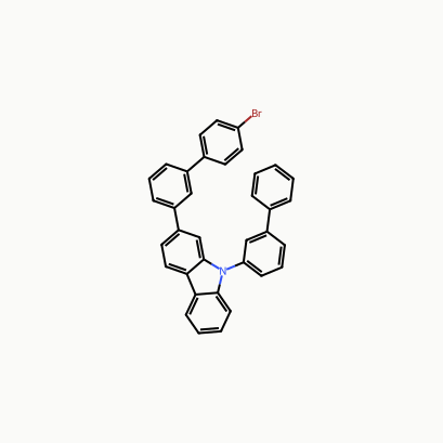 Brc1ccc(-c2cccc(-c3ccc4c5ccccc5n(-c5cccc(-c6ccccc6)c5)c4c3)c2)cc1